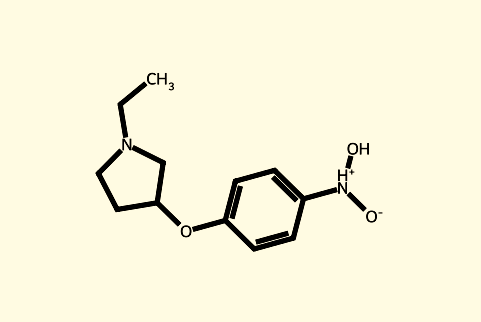 CCN1CCC(Oc2ccc([NH+]([O-])O)cc2)C1